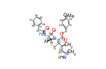 C=C(C1=C(C(=O)OCc2ccc(OC)cc2)N2C(=O)C(NC(=O)Cc3ccccc3)[C@H]2SC1)c1scnc1C